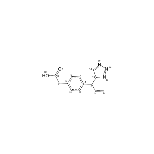 C=CC(c1ccc(CC(=O)O)cc1)C1C=NN=N1